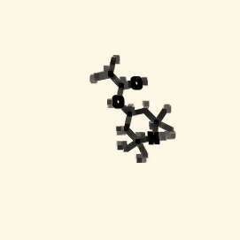 C=C(C)C(=O)OC1CC(C)(C)[N]C(C)(C)C1